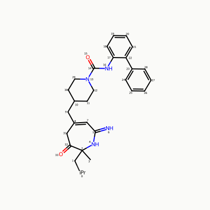 CC(C)CC1(C)NC(=N)C=C(CC2CCN(C(=O)Nc3ccccc3-c3ccccc3)CC2)CC1=O